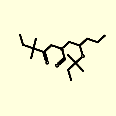 CCCC(CN(C=O)CC(=O)C(C)(C)CC)OC(C)(C)CC